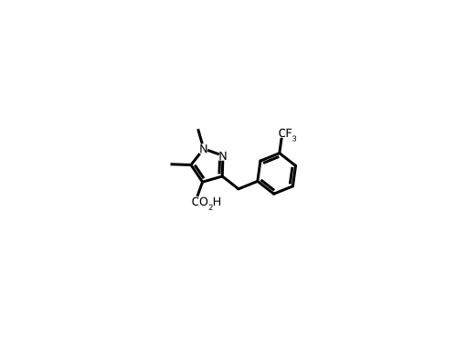 Cc1c(C(=O)O)c(Cc2cccc(C(F)(F)F)c2)nn1C